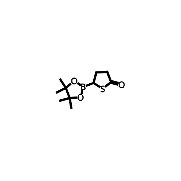 CC1(C)OB(C2CCC(=O)S2)OC1(C)C